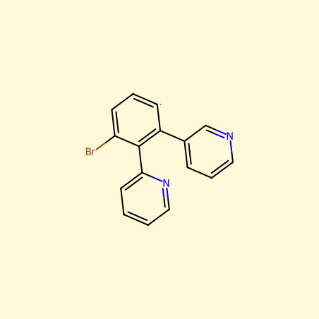 Brc1cc[c]c(-c2cccnc2)c1-c1ccccn1